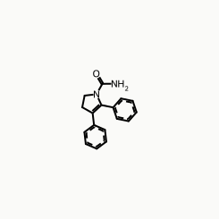 NC(=O)N1CCC(c2ccccc2)=C1c1ccccc1